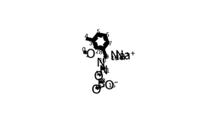 COc1c(C)cccc1CN=NOB([O-])[O-].[Na+].[Na+]